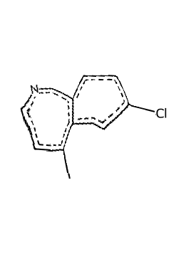 Cc1ccnc2ccc(Cl)cc12